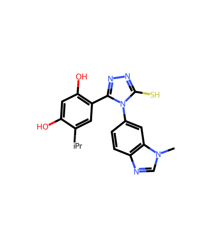 CC(C)c1cc(-c2nnc(S)n2-c2ccc3ncn(C)c3c2)c(O)cc1O